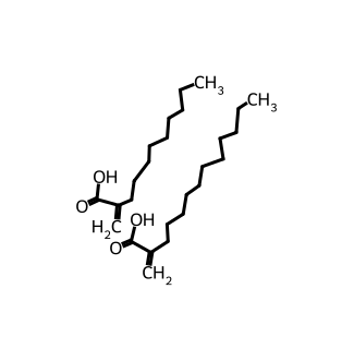 C=C(CCCCCCCCC)C(=O)O.C=C(CCCCCCCCCCC)C(=O)O